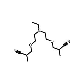 CCN(CCOCC(C)C#N)CCOCC(C)C#N